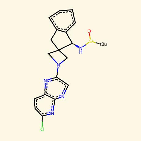 CC(C)(C)[S+]([O-])N[C@@H]1c2ccccc2CC12CN(c1cnc3nc(Cl)ccc3n1)C2